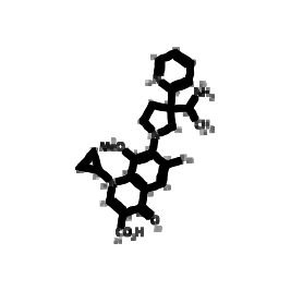 COc1c(N2CCC(c3ccccn3)(C(C)N)C2)c(F)cc2c(=O)c(C(=O)O)cn(C3CC3)c12